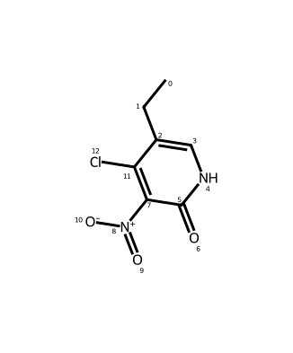 CCc1c[nH]c(=O)c([N+](=O)[O-])c1Cl